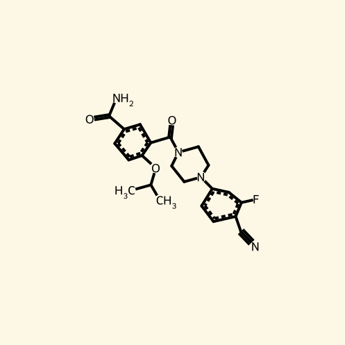 CC(C)Oc1ccc(C(N)=O)cc1C(=O)N1CCN(c2ccc(C#N)c(F)c2)CC1